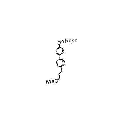 CCCCCCCOc1ccc(-c2ccc(CCCOC)cn2)cc1